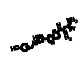 CC(C)C(=C/N)/C=C(\N)Nc1ccc2ncc(/C(C=N)=C/NCCCN3CCC(O)CC3)cc2n1